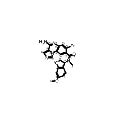 COc1ccc2c(c1)OC[C@H]2N(C)C(=O)c1cc2c(cc1F)nc(N)c1cncn12